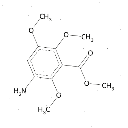 COC(=O)c1c(OC)c(N)cc(OC)c1OC